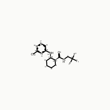 O=C(NCC(F)(F)F)[C@H]1CCCC[C@H]1Nc1cnnc(Cl)n1